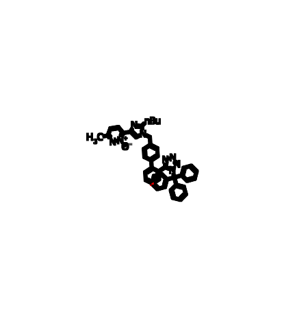 CCCCc1nc(-c2ccc(C)n[n+]2[O-])cn1Cc1ccc(-c2ccccc2-c2nnnn2C(c2ccccc2)(c2ccccc2)c2ccccc2)cc1